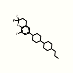 CCCC1CCC(C2CCC(c3cc(F)c4c(c3)CCC(F)(F)O4)CC2)CC1